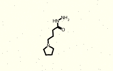 NNC(=O)CCCN1CCCC1